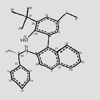 CCc1cc(-c2c(N[C@@H](C)c3ccccc3)ccc3ccccc23)c(O)c(C(C)(C)C)c1